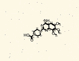 COc1cc2c(N)nc(N3CCN(C(=O)O)CC3)nc2c(OC)c1OC